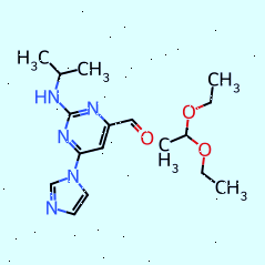 CC(C)Nc1nc(C=O)cc(-n2ccnc2)n1.CCOC(C)OCC